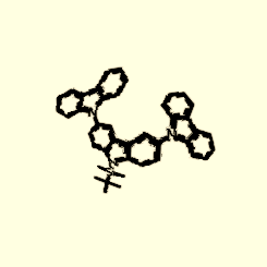 CC(C)(C)[Si](C)(C)n1c2ccc(-n3c4ccccc4c4ccccc43)cc2c2cc(-n3c4ccccc4c4ccccc43)ccc21